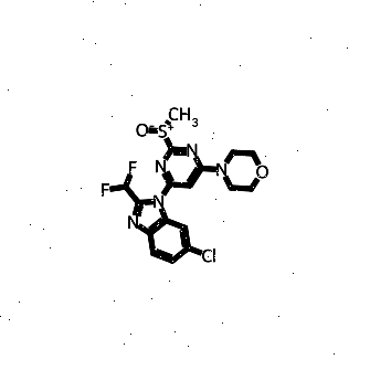 C[S+]([O-])c1nc(N2CCOCC2)cc(-n2c(C(F)F)nc3ccc(Cl)cc32)n1